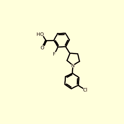 O=C(O)c1cccc(C2CCN(c3cccc(Cl)c3)C2)c1F